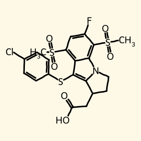 CS(=O)(=O)c1cc(F)c(S(C)(=O)=O)c2c1c(Sc1ccc(Cl)cc1)c1n2CCC1CC(=O)O